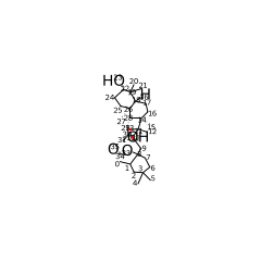 CC1CC(C)(C)CC[C@@]1(CCC(C)(C)[C@]1(C)CC[C@H]2C(C)(C)[C@@H](O)CC[C@]2(C)[C@H]1C[C@H](C)O)OC=O